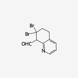 O=CC1c2ncccc2CCC1(Br)Br